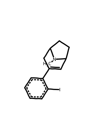 CN1C2C=C(c3ccccc3I)CC1CC2